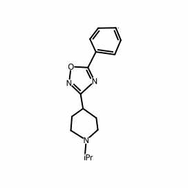 CC(C)N1CCC(c2noc(-c3cc[c]cc3)n2)CC1